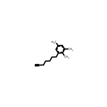 [C]#CCCCCCc1cc(C)cc(C)c1C